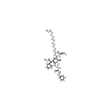 CCCCCCCCCCCCC[C@@H](CC(N)=O)OC(=O)[C@H](CCCC(=O)OCc1ccccc1)NC(=O)N(C)c1ccccn1